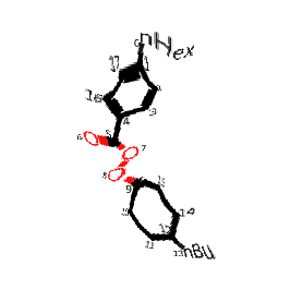 CCCCCCc1ccc(C(=O)OO[C]2CCC(CCCC)CC2)cc1